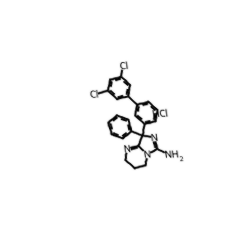 Cl.NC1=NC(c2ccccc2)(c2cccc(-c3cc(Cl)cc(Cl)c3)c2)C2=NCCCN12